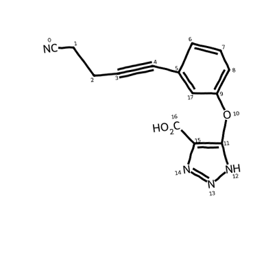 N#CCCC#Cc1cccc(Oc2[nH]nnc2C(=O)O)c1